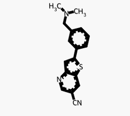 CN(C)Cc1cccc(-c2cc3ncc(C#N)cc3s2)c1